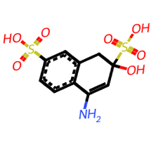 NC1=CC(O)(S(=O)(=O)O)Cc2cc(S(=O)(=O)O)ccc21